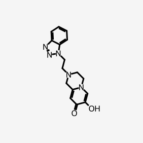 O=c1cc2n(cc1O)CCN(CCn1nnc3ccccc31)C2